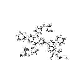 CCCCCCCN1C(=O)c2sc3c(-c4cc5c(-c6ccc(CC(CC)CCCC)s6)c6sc(-c7ccccc7)cc6c(-c6ccc(CC(CC)CCCC)s6)c5s4)sc(-c4ccccc4)c3c2C1=O